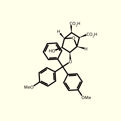 COc1ccc(C(O[C@H]2[C@@H](O)[C@H]3O[C@@H]2[C@H](C(=O)O)[C@@H]3C(=O)O)(c2ccccc2)c2ccc(OC)cc2)cc1